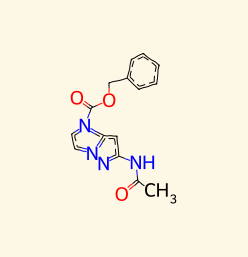 CC(=O)Nc1cc2n(C(=O)OCc3ccccc3)ccn2n1